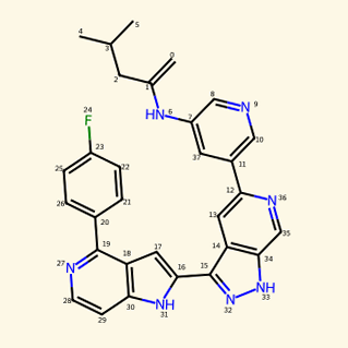 C=C(CC(C)C)Nc1cncc(-c2cc3c(-c4cc5c(-c6ccc(F)cc6)nccc5[nH]4)n[nH]c3cn2)c1